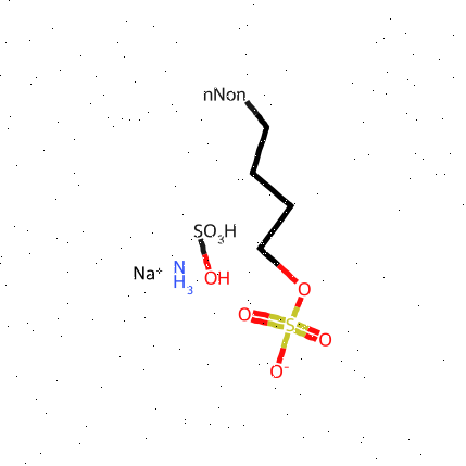 CCCCCCCCCCCCCOS(=O)(=O)[O-].N.O=S(=O)(O)O.[Na+]